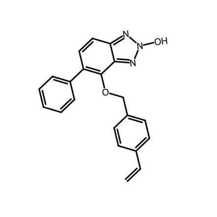 C=Cc1ccc(COc2c(-c3ccccc3)ccc3nn(O)nc23)cc1